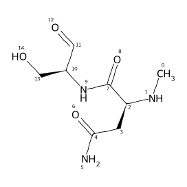 CN[C@@H](CC(N)=O)C(=O)N[C@H](C=O)CO